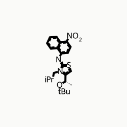 CC(C)Cn1c([C@H](C)OC(C)(C)C)csc1=Nc1ccc([N+](=O)[O-])c2ccccc12